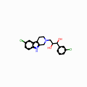 OC(CN1CCc2c([nH]c3ccc(Cl)cc23)C1)C(O)c1cccc(Cl)c1